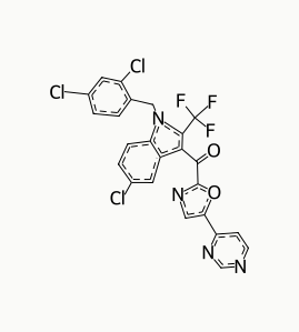 O=C(c1ncc(-c2ccncn2)o1)c1c(C(F)(F)F)n(Cc2ccc(Cl)cc2Cl)c2ccc(Cl)cc12